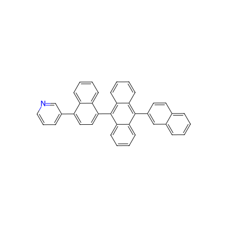 c1cncc(-c2ccc(-c3c4ccccc4c(-c4ccc5ccccc5c4)c4ccccc34)c3ccccc23)c1